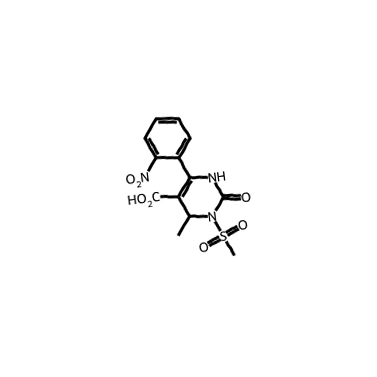 CC1C(C(=O)O)=C(c2ccccc2[N+](=O)[O-])NC(=O)N1S(C)(=O)=O